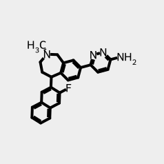 CN1CCC(c2cc3ccccc3cc2F)c2ccc(-c3ccc(N)nn3)cc2C1